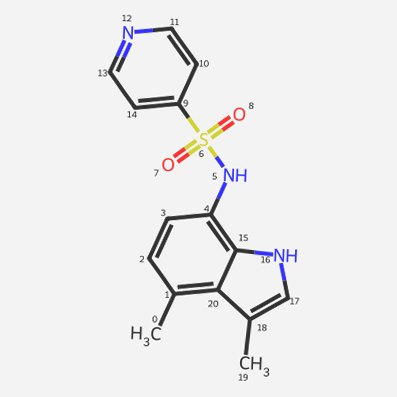 Cc1ccc(NS(=O)(=O)c2ccncc2)c2[nH]cc(C)c12